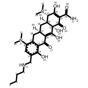 CCCCNCc1cc(N(C)C)c2c(c1O)C(=O)C1=C(O)[C@]3(O)C(=O)C(C(N)=O)=C(O)[C@@H](N(C)C)[C@@H]3C[C@@H]1C2